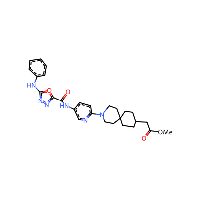 COC(=O)CC1CCC2(CC1)CCN(c1ccc(NC(=O)c3nnc(Nc4ccccc4)o3)cn1)CC2